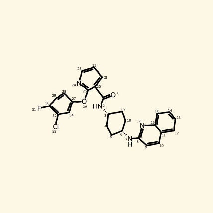 O=C(N[C@H]1CC[C@@H](Nc2ccc3ccccc3n2)CC1)c1cccnc1Oc1ccc(F)c(Cl)c1